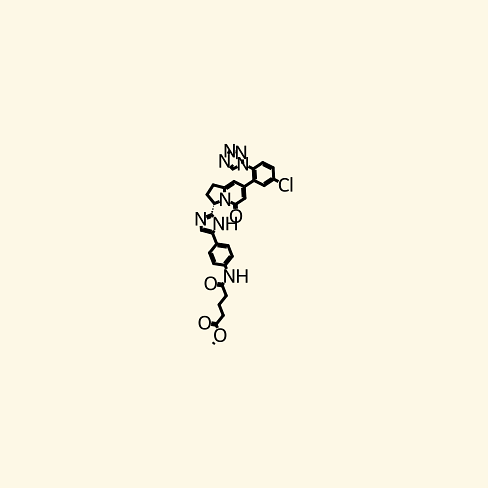 COC(=O)CCCC(=O)Nc1ccc(-c2cnc([C@@H]3CCc4cc(-c5cc(Cl)ccc5-n5cnnn5)cc(=O)n43)[nH]2)cc1